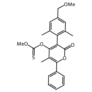 COCc1cc(C)c(-c2c(OC(=S)OC)c(C)c(-c3ccccc3)oc2=O)c(C)c1